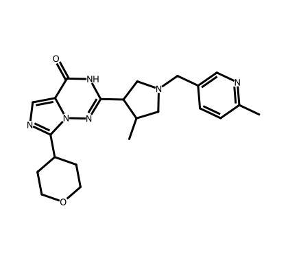 Cc1ccc(CN2CC(C)C(c3nn4c(C5CCOCC5)ncc4c(=O)[nH]3)C2)cn1